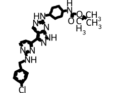 CC(C)(C)OC(=O)NC1CCC(Nc2ncc3c(-c4ccnc(NCc5ccc(Cl)cc5)n4)n[nH]c3n2)CC1